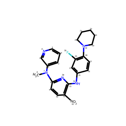 CN(c1cccnc1)c1ccc([N+](=O)[O-])c(Nc2ccc(N3CCCCC3)c(F)c2)n1